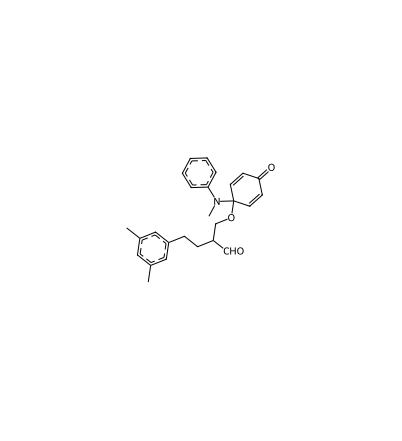 Cc1cc(C)cc(CCC(C=O)COC2(N(C)c3ccccc3)C=CC(=O)C=C2)c1